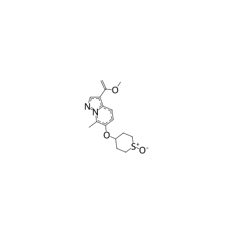 C=C(OC)c1cnn2c(C)c(OC3CC[S+]([O-])CC3)ccc12